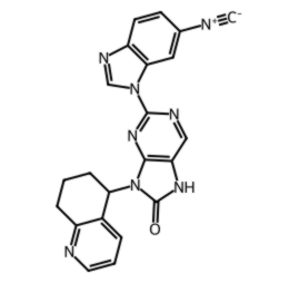 [C-]#[N+]c1ccc2ncn(-c3ncc4[nH]c(=O)n(C5CCCc6ncccc65)c4n3)c2c1